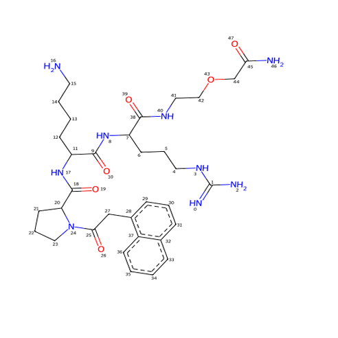 N=C(N)NCCCC(NC(=O)C(CCCCN)NC(=O)C1CCCN1C(=O)Cc1cccc2ccccc12)C(=O)NCCOCC(N)=O